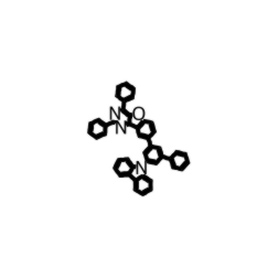 c1ccc(-c2cc(-c3ccc4oc5c(-c6ccccc6)nc(-c6ccccc6)nc5c4c3)cc(-n3c4ccccc4c4ccccc43)c2)cc1